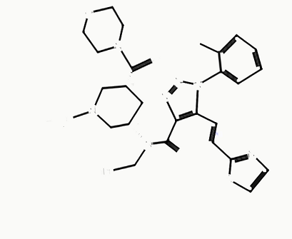 CC(C)CN(C(=O)c1nnn(-c2ccccc2F)c1/C=C/c1nccs1)[C@H]1C[C@@H](C(=O)N2CCOCC2)CN(C(=O)O)C1